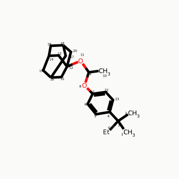 CCC(C)(C)c1ccc(OC(C)OC23CC4CC(CC(C4)C2)C3)cc1